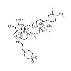 COC(=O)C(C)[C@@H]1CC[C@]2(NCCN3CCS(=O)(=O)CC3)CC[C@]3(C)[C@H](CC[C@@H]4[C@@]5(C)CC=C(c6ccc(C)c(F)c6)C(C)(C)[C@@H]5CC[C@]43C)[C@@H]12